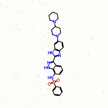 O=S(=O)(Nc1cccc2c(-c3nc4ccc(N5CCC(N6CCCCC6)CC5)cc4[nH]3)n[nH]c12)c1ccccc1